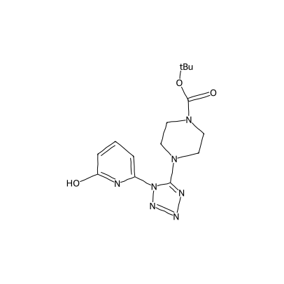 CC(C)(C)OC(=O)N1CCN(c2nnnn2-c2cccc(O)n2)CC1